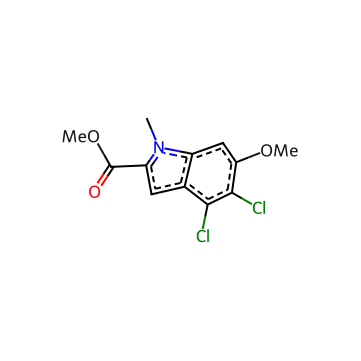 COC(=O)c1cc2c(Cl)c(Cl)c(OC)cc2n1C